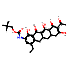 CCc1cc(NC(=O)OCC(C)(C)C)c(O)c2c1CC1CC3CC(O)=C(C(C)=O)C(=O)C3C(O)=C1C2=O